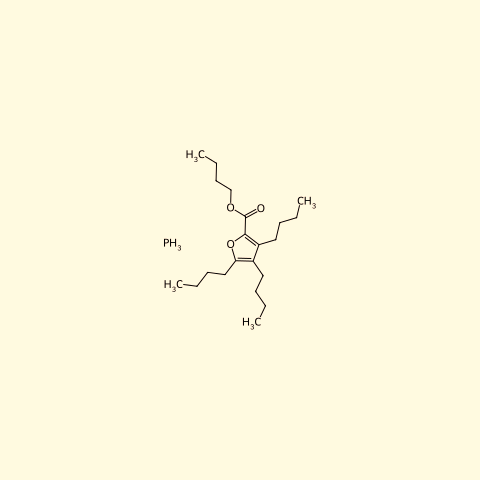 CCCCOC(=O)c1oc(CCCC)c(CCCC)c1CCCC.P